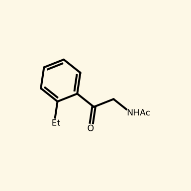 CCc1ccccc1C(=O)CNC(C)=O